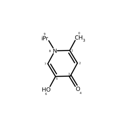 Cc1cc(=O)c(O)cn1C(C)C